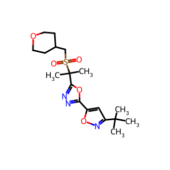 CC(C)(C)c1cc(-c2nnc(C(C)(C)S(=O)(=O)CC3CCOCC3)o2)on1